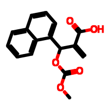 C=C(C(=O)O)C(OC(=O)OC)c1cccc2ccccc12